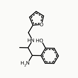 CC(NCc1ccco1)C(N)c1ccccc1O